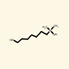 CCC[N+](C)(C)CCCCCCCO